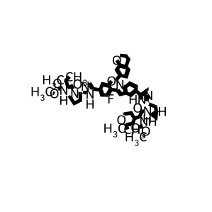 COC(=O)NC(C(=O)N1CCC[C@H]1c1ncc(-c2cc(F)c3c(c2)OC(c2ccc4c(c2)OCCC4)n2c-3cc3cc(-c4cnc([C@@H]5C[C@H]6C[C@H]6N5C(=O)C(NC(=O)OC)C5CCOC(C)(C)C5)[nH]4)ccc32)[nH]1)C(C)C